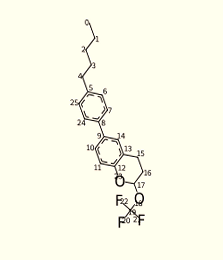 CCCCCc1ccc(-c2ccc3c(c2)CCC(OC(F)(F)F)O3)cc1